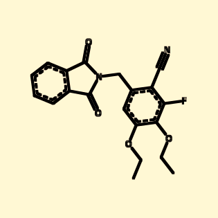 CCOc1cc(CN2C(=O)c3ccccc3C2=O)c(C#N)c(F)c1OCC